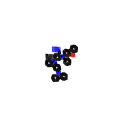 N#Cc1cc(C=N)c(-n2c3ccccc3c3c4oc5ccccc5c4ccc32)cc1-n1c2ccccc2c2cc(-n3c4ccccc4c4ccccc43)ccc21